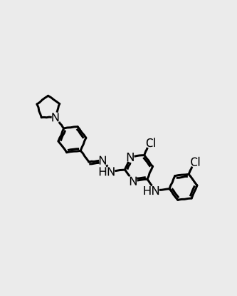 Clc1cccc(Nc2cc(Cl)nc(N/N=C/c3ccc(N4CCCC4)cc3)n2)c1